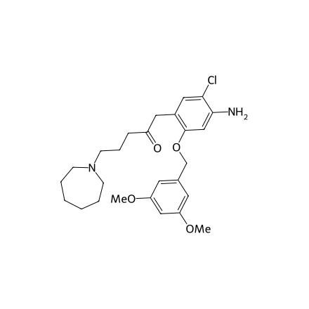 COc1cc(COc2cc(N)c(Cl)cc2CC(=O)CCCN2CCCCCC2)cc(OC)c1